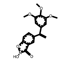 C=C(c1cc(OC)c(OC)c(OC)c1)c1ccc2on(O)c(=O)c2c1